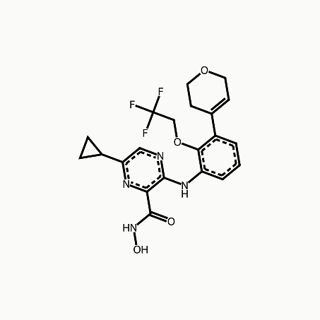 O=C(NO)c1nc(C2CC2)cnc1Nc1cccc(C2=CCOCC2)c1OCC(F)(F)F